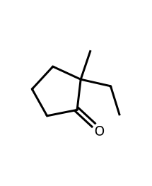 CCC1(C)CCCC1=O